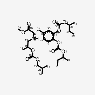 CCC(C)OC(=O)Oc1ccc(C[C@H](NCC(C)OC(=O)OCC(C)C)C(=O)OC)cc1OC(=O)OC(C)CC